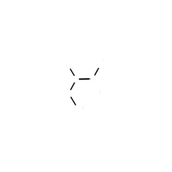 CCCCOP([O-])OCCCC.[Li+]